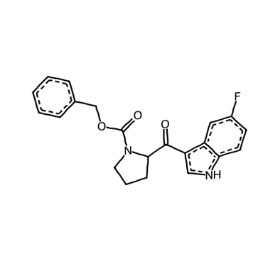 O=C(c1c[nH]c2ccc(F)cc12)C1CCCN1C(=O)OCc1ccccc1